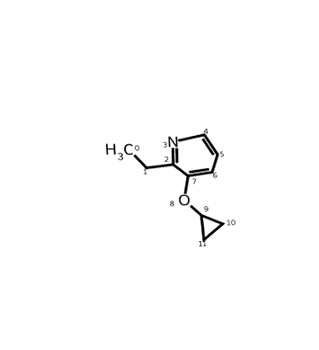 CCc1ncccc1OC1CC1